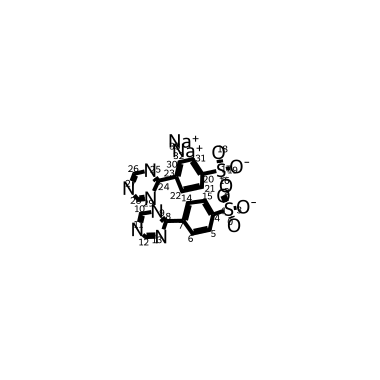 O=S(=O)([O-])c1ccc(-c2ncncn2)cc1.O=S(=O)([O-])c1ccc(-c2ncncn2)cc1.[Na+].[Na+]